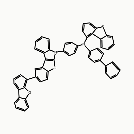 c1ccc(-c2ccc(N(c3ccc(-n4c5ccccc5c5c6cc(-c7cccc8c7oc7ccccc78)ccc6oc54)cc3)c3cccc4sc5ccccc5c34)cc2)cc1